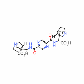 O=C(N[C@@H](C(=O)O)[C@H]1CN2CCC1CC2)c1cnc(C(=O)N[C@@H](C(=O)O)[C@H]2CN3CCC2CC3)cn1